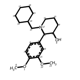 COc1ccc(C2C(O)CCCN2CC2CCCCC2)cc1OC